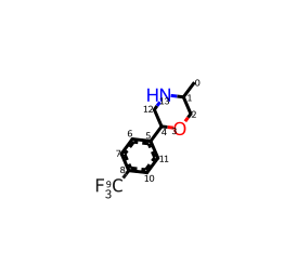 CC1COC(c2ccc(C(F)(F)F)cc2)CN1